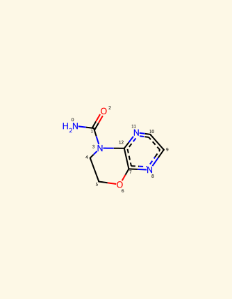 NC(=O)N1CCOc2nccnc21